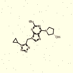 CC(C)(C)c1nc(N2CC[C@H](O)C2)c2ncn(Cc3nnnn3C3CC3)c2n1